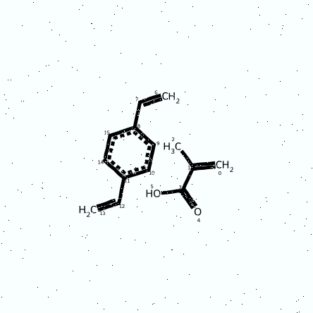 C=C(C)C(=O)O.C=Cc1ccc(C=C)cc1